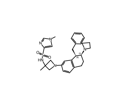 Cn1cnc(S(=O)(=O)NC2(C)CN(c3ccc4c(c3)[C@@H](Cc3ccccc3)[C@@H](N3CCC3)CC4)C2)c1